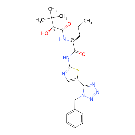 CCC[C@H](NC(=O)[C@@H](O)C(C)(C)C)C(=O)Nc1ncc(-c2nnnn2Cc2ccccc2)s1